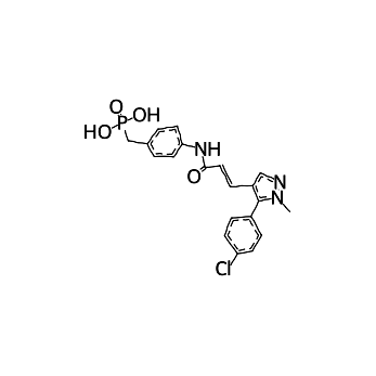 Cn1ncc(C=CC(=O)Nc2ccc(CP(=O)(O)O)cc2)c1-c1ccc(Cl)cc1